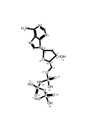 Nc1ncnc2c1ncn2[C@H]1C[C@H](O)[C@@H](COP(=O)(O)NP(=O)(O)OP(=O)(O)O)O1